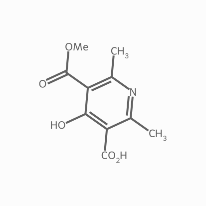 COC(=O)c1c(C)nc(C)c(C(=O)O)c1O